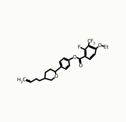 C=CCCC1CCC(c2ccc(OC(=O)c3ccc(OCC)c(C(F)(F)F)c3F)cc2)OC1